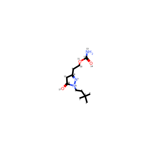 CC(C)(C)CCN1N=C(CCOC(N)=O)CC1=O